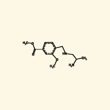 COC(=O)c1ccc(CNCC(C)N)c(OC)c1